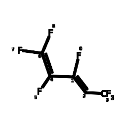 FC(=CC(F)(F)F)C(F)=C(F)F